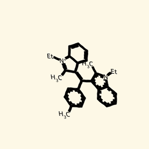 CCn1c(C)c(/C(=C2/C(C)=[N+](CC)C3C=CC=CC23)c2ccc(C)cc2)c2ccccc21